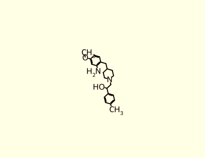 COc1ccc(CC2CCN(CC(O)c3ccc(C)cc3)CC2)c(N)c1